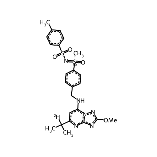 [2H]C(C)(C)c1cc(NCc2ccc([S@](C)(=O)=NS(=O)(=O)c3ccc(C)cc3)cc2)n2nc(OC)nc2n1